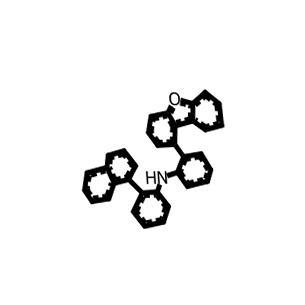 c1ccc(-c2cccc3ccccc23)c(Nc2ccccc2-c2cccc3oc4ccccc4c23)c1